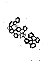 c1ccc(-c2nc(-c3ccc4c(c3)C3(c5ccccc5-c5ccccc53)c3ccccc3-4)nc(-c3ccccc3-c3ccc4c5cccc6oc7ccc8c9ccccc9n(c4c3)c8c7c65)n2)cc1